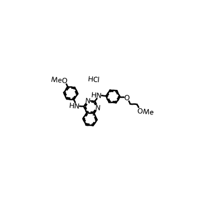 COCCOc1ccc(Nc2nc(Nc3ccc(OC)cc3)c3ccccc3n2)cc1.Cl